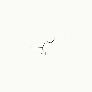 CCCCCCOC(C)NC(C)=O